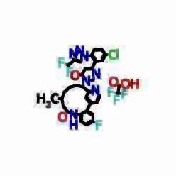 CC1CCC[C@H](n2cnc(-c3cc(Cl)ccc3-n3cc(C(F)F)nn3)cc2=O)c2cc(ccn2)-c2cc(F)ccc2NC(=O)C1.O=C(O)C(F)(F)F